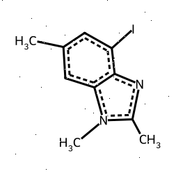 Cc1cc(I)c2nc(C)n(C)c2c1